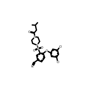 CC(C)CC(=O)N1CCN(S(=O)(=O)c2cc(C#N)ccc2Oc2cc(Cl)cc(Cl)c2)CC1